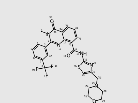 Cn1c(-c2cccc(C(F)(F)F)c2)nc2c(C(=O)Nc3nc(CN4CCOCC4)cs3)cccc2c1=O